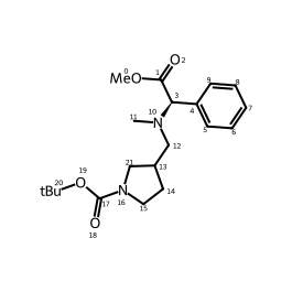 COC(=O)[C@@H](c1ccccc1)N(C)CC1CCN(C(=O)OC(C)(C)C)C1